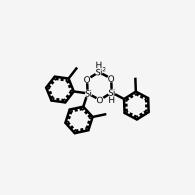 Cc1ccccc1[SiH]1O[SiH2]O[Si](c2ccccc2C)(c2ccccc2C)O1